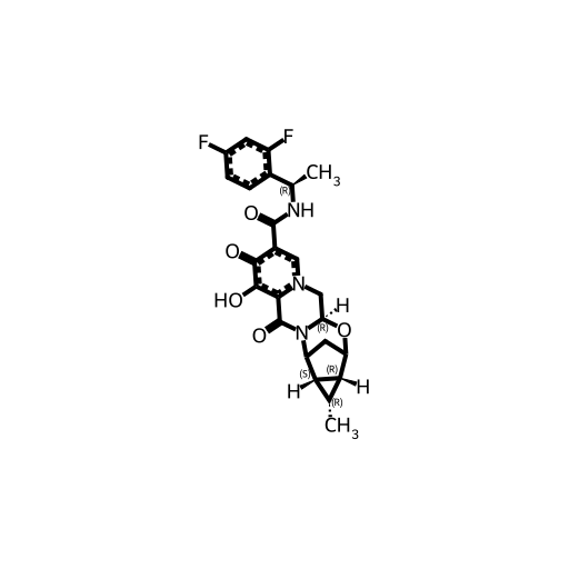 C[C@H]1[C@H]2C3CC([C@@H]12)N1C(=O)c2c(O)c(=O)c(C(=O)N[C@H](C)c4ccc(F)cc4F)cn2C[C@H]1O3